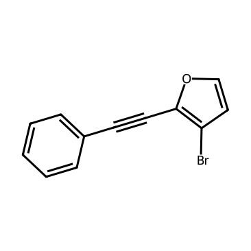 Brc1ccoc1C#Cc1ccccc1